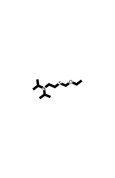 CCOCSCCN(C(C)C)C(C)C